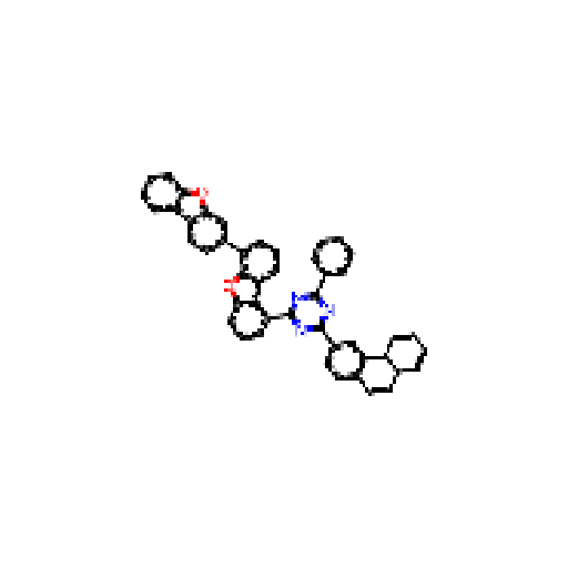 C1=CC2C=Cc3ccc(-c4nc(-c5ccccc5)nc(-c5cccc6oc7c(-c8ccc9c(c8)oc8ccccc89)cccc7c56)n4)cc3C2C=C1